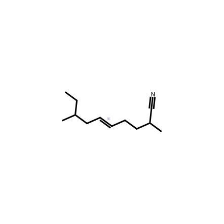 CCC(C)C/C=C/CCC(C)C#N